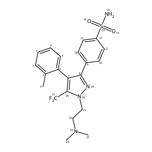 Cc1ccccc1-c1c(-c2ccc(S(N)(=O)=O)cc2)nn(CCN(C)C)c1C(F)(F)F